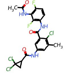 CC(=O)Nc1c(F)ccc(NC(=O)c2cc(NC(=O)C3CC3(Cl)Cl)cc(C)c2Cl)c1F